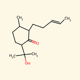 C/C=C/CCC1C(=O)C(C(C)(C)O)CCC1C